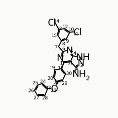 Nc1n[nH]c2nc(Cc3cc(Cl)cc(Cl)c3)nc(-c3ccc(Oc4ccccc4)cc3)c12